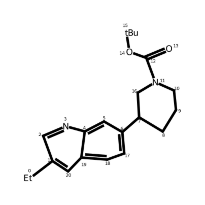 CCc1cnc2cc(C3CCCN(C(=O)OC(C)(C)C)C3)ccc2c1